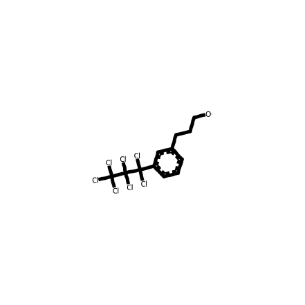 [O]CCCc1cccc(C(Cl)(Cl)C(Cl)(Cl)C(Cl)(Cl)Cl)c1